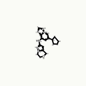 c1nc2c(Nc3cc4n(n3)CCOC4)cc(C3CCCC3)cn2n1